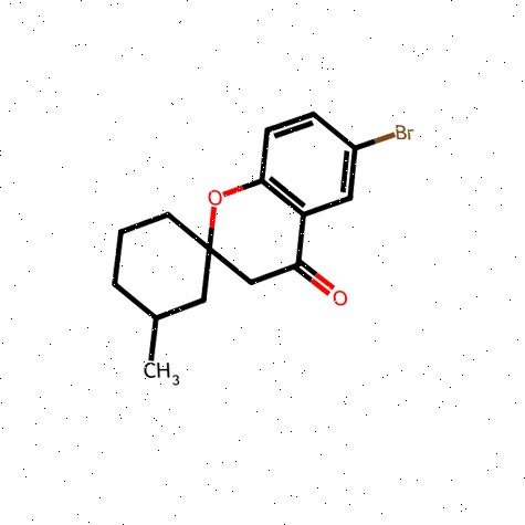 CC1CCCC2(CC(=O)c3cc(Br)ccc3O2)C1